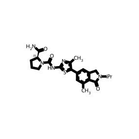 Cc1cc(-c2sc(NC(=O)N3CCC[C@H]3C(N)=O)nc2C)cc2c1C(=O)N(C(C)C)C2